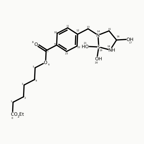 CCOC(=O)CCCCCOC(=O)c1ccc(CN2CC(O)NS2(O)O)cc1